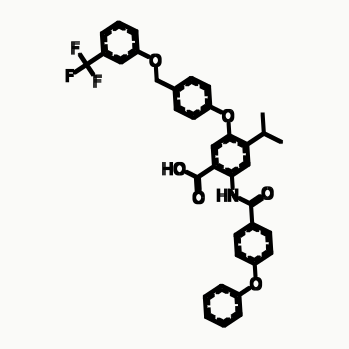 CC(C)c1cc(NC(=O)c2ccc(Oc3ccccc3)cc2)c(C(=O)O)cc1Oc1ccc(COc2cccc(C(F)(F)F)c2)cc1